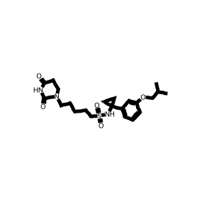 CC(C)COc1cccc(C2(NS(=O)(=O)CCCCCN3CCC(=O)NC3=O)CC2)c1